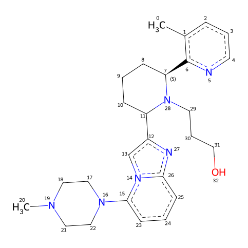 Cc1cccnc1[C@@H]1CCCC(c2cn3c(N4CCN(C)CC4)cccc3n2)N1CCCO